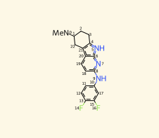 CNC1CCc2[nH]c3nc(Nc4ccc(F)c(F)c4)ccc3c2C1